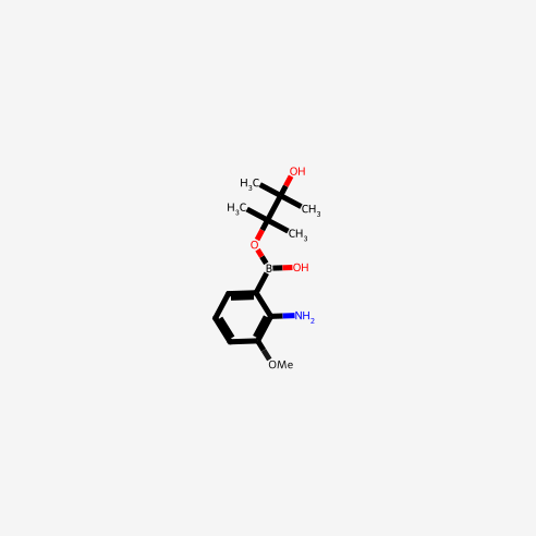 COc1cccc(B(O)OC(C)(C)C(C)(C)O)c1N